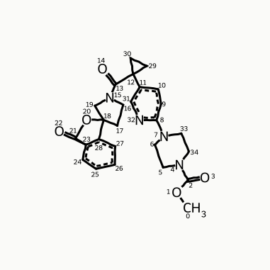 COC(=O)N1CCN(c2ccc(C3(C(=O)N4CCC5(C4)OC(=O)c4ccccc45)CC3)cn2)CC1